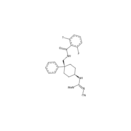 CN/C(=N\C#N)N[C@H]1CC[C@](CNC(=O)c2c(F)cccc2F)(c2ccccc2)CC1